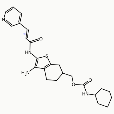 Nc1c(NC(=O)/C=C/c2cccnc2)sc2c1CCC(COC(=O)NC1CCCCC1)C2